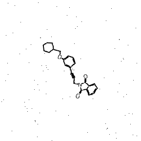 O=C1c2ccccc2C(=O)N1CC#Cc1cccc(OCC2CCCCC2)c1